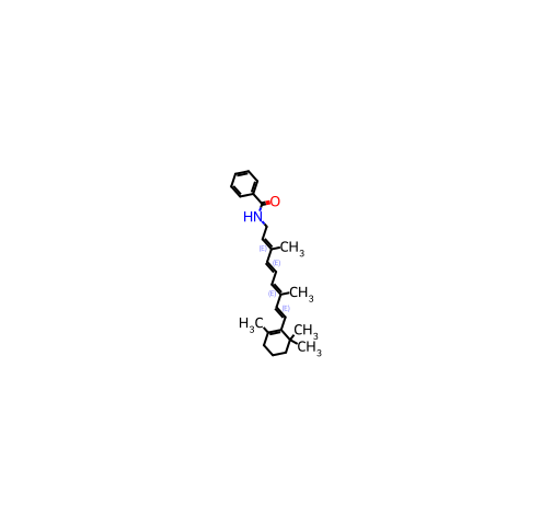 CC1=C(/C=C/C(C)=C/C=C/C(C)=C/CNC(=O)c2ccccc2)C(C)(C)CCC1